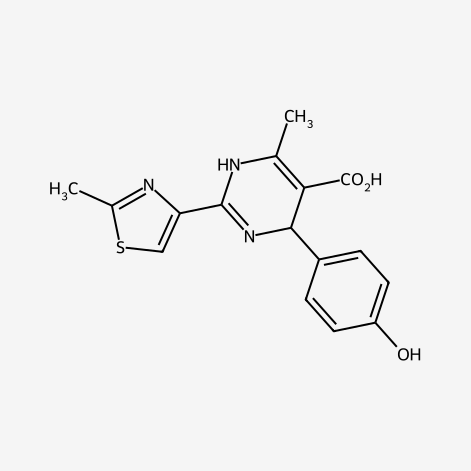 CC1=C(C(=O)O)C(c2ccc(O)cc2)N=C(c2csc(C)n2)N1